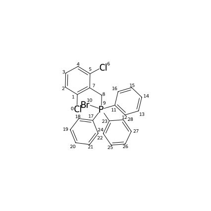 Clc1cccc(Cl)c1CP(Br)(c1ccccc1)(c1ccccc1)c1ccccc1